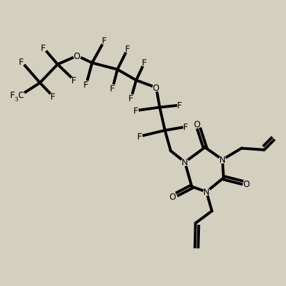 C=CCn1c(=O)n(CC=C)c(=O)n(CC(F)(F)C(F)(F)OC(F)(F)C(F)(F)C(F)(F)OC(F)(F)C(F)(F)C(F)(F)F)c1=O